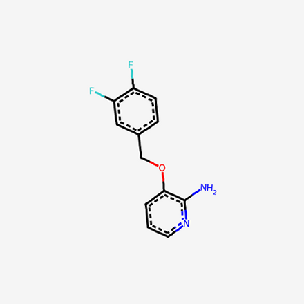 Nc1ncccc1OCc1ccc(F)c(F)c1